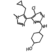 Cn1cnc(-c2nc(NC3CCC(O)CC3)ncc2Cl)c1CC1CC1